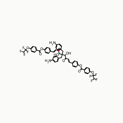 Nc1ccc(CC(Cc2ccc(N)cc2)(C(O)C(=O)/C=C/c2ccc(OC(=O)c3ccc(OC(F)(F)C(F)F)cc3)cc2)C(O)C(=O)/C=C/c2ccc(OC(=O)c3ccc(OC(F)(F)C(F)F)cc3)cc2)cc1